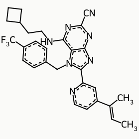 C/C=C(\C)c1ccnc(-c2nc3nc(C#N)nc(NCCC4CCC4)c3n2Cc2ccc(C(F)(F)F)cc2)c1